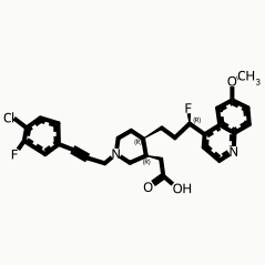 COc1ccc2nccc([C@H](F)CC[C@@H]3CCN(CC#Cc4ccc(Cl)c(F)c4)C[C@@H]3CC(=O)O)c2c1